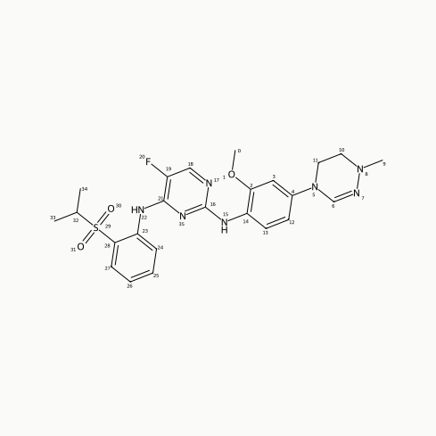 COc1cc(N2C=NN(C)CC2)ccc1Nc1ncc(F)c(Nc2ccccc2S(=O)(=O)C(C)C)n1